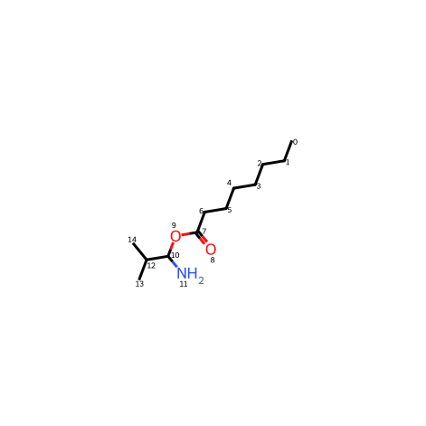 CCCCCCCC(=O)OC(N)C(C)C